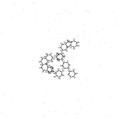 c1ccc(-c2ccc(-c3nc(-c4ccc5sc6ccccc6c5c4)nc(-c4ccc5ccc6ccc7nn(-c8ccccc8)nc7c6c5c4)n3)cc2)cc1